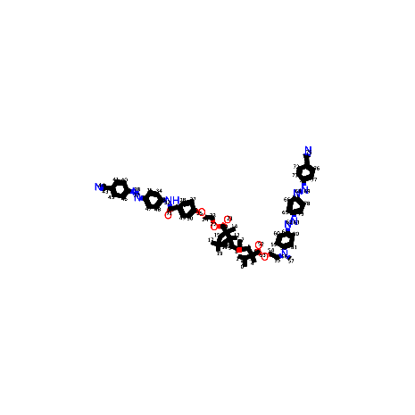 CC(C)C(C)(CC(C)(C)CC(C)(C)C(C)(CC(C)(C)C)C(=O)OCCOc1ccc(C(=O)Nc2ccc(/N=N/c3ccc(C#N)cc3)cc2)cc1)C(=O)OCCN(C)c1ccc(/N=N/c2ccc(/N=N/c3ccc(C#N)cc3)cc2)cc1